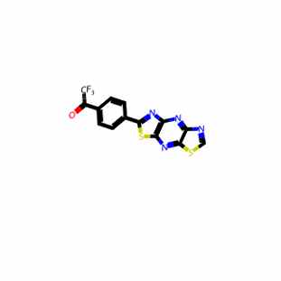 O=C(c1ccc(-c2nc3nc4ncsc4nc3s2)cc1)C(F)(F)F